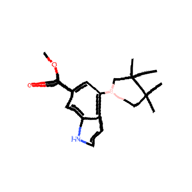 COC(=O)c1cc(B2CC(C)(C)C(C)(C)C2)c2cc[nH]c2c1